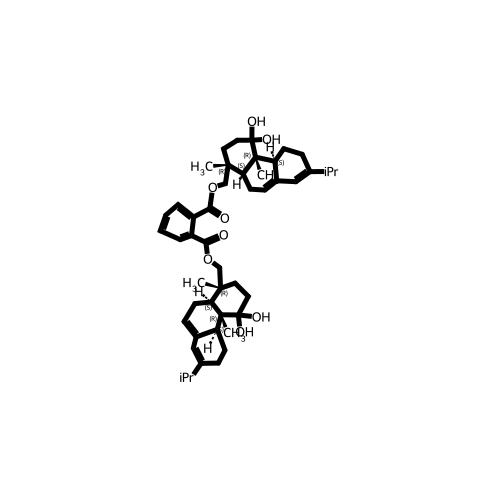 CC(C)C1=CC2=CC[C@H]3[C@](C)(COC(=O)c4ccccc4C(=O)OC[C@]4(C)CCC(O)(O)[C@]5(C)[C@H]6CCC(C(C)C)=CC6=CC[C@@H]45)CCC(O)(O)[C@]3(C)[C@H]2CC1